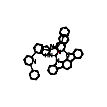 c1ccc(C2=NC(c3cccc(-c4cccc(-c5ccccc5)n4)c3)NC(n3c4ccccc4c4ccc5c6ccccc6n(-c6cc(-c7ccccc7)cc(-c7ccccc7)c6)c5c43)=N2)cc1